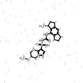 CO[C@@H]1COc2c([S@@](=N)(=O)NC(=O)Nc3c4c(cc5c3[C@@H](C)CC5)CCC4)cnn2C1